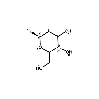 OCC1O[C@@H](I)CC(O)[C@@H]1O